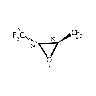 FC(F)(F)[C@H]1O[C@@H]1C(F)(F)F